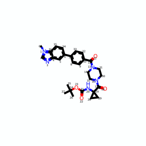 Cn1cnc2cc(-c3ccc(C(=O)N4CCN(C(=O)C5(NC(=O)OC(C)(C)C)CC5)CC4)cc3)ccc21